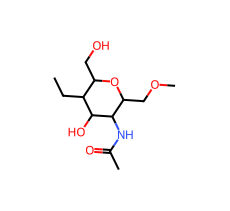 CCC1C(CO)OC(COC)C(NC(C)=O)C1O